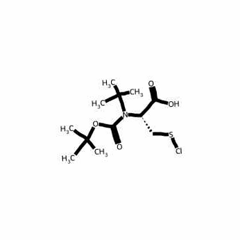 CC(C)(C)OC(=O)N([C@@H](CSCl)C(=O)O)C(C)(C)C